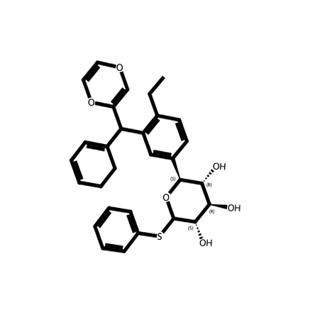 CCc1ccc([C@@H]2OC(Sc3ccccc3)[C@@H](O)[C@H](O)[C@H]2O)cc1C(C1=CC=CCC1)C1=COC=CO1